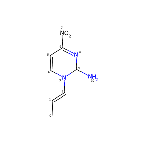 CC=CN1C=CC([N+](=O)[O-])=NC1N